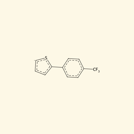 FC(F)(F)c1ccc(-c2cc[c]s2)cc1